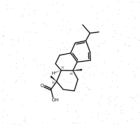 CC(C)c1ccc2c(c1)CC[C@H]1[C@@]2(C)CCC[C@]1(C)C(=O)O